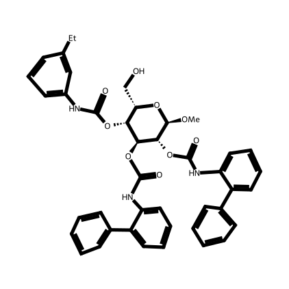 CCc1cccc(NC(=O)O[C@H]2[C@H](OC(=O)Nc3ccccc3-c3ccccc3)[C@@H](OC(=O)Nc3ccccc3-c3ccccc3)[C@H](OC)O[C@H]2CO)c1